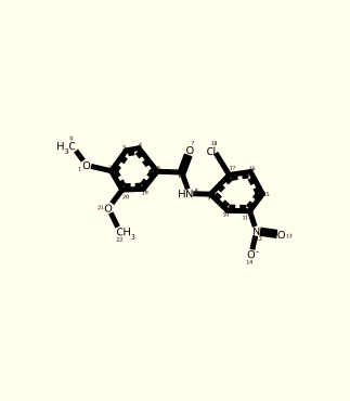 COc1ccc(C(=O)Nc2cc([N+](=O)[O-])ccc2Cl)cc1OC